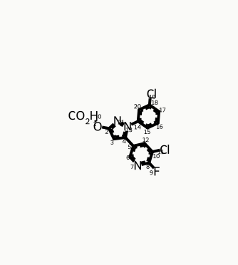 O=C(O)Oc1cc(-c2cnc(F)c(Cl)c2)n(-c2cccc(Cl)c2)n1